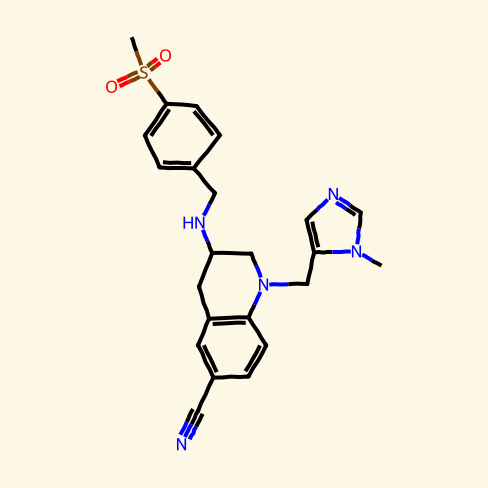 Cn1cncc1CN1CC(NCc2ccc(S(C)(=O)=O)cc2)Cc2cc(C#N)ccc21